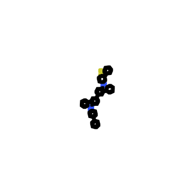 C1=Cc2c(n(C3C=Cc4sc5ccccc5c4C3)c3ccc(-c4ccc5c(c4)c4ccccc4n5-c4ccc(-c5ccccc5)cc4)cc23)CC1